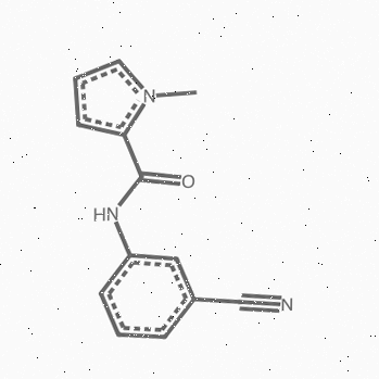 Cn1cccc1C(=O)Nc1cccc(C#N)c1